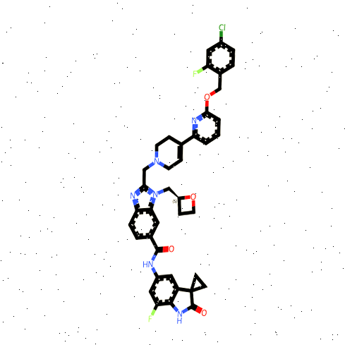 O=C(Nc1cc(F)c2c(c1)C1(CC1)C(=O)N2)c1ccc2nc(CN3CC=C(c4cccc(OCc5ccc(Cl)cc5F)n4)CC3)n(C[C@@H]3CCO3)c2c1